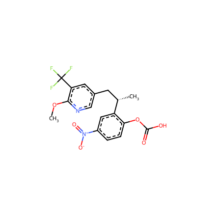 COc1ncc(C[C@H](C)c2cc([N+](=O)[O-])ccc2OC(=O)O)cc1C(F)(F)F